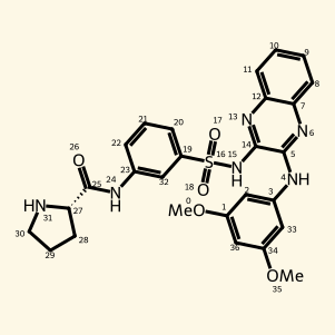 COc1cc(Nc2nc3ccccc3nc2NS(=O)(=O)c2cccc(NC(=O)[C@@H]3CCCN3)c2)cc(OC)c1